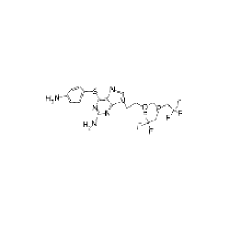 Nc1ccc(Sc2nc(N)nc3c2ncn3CCOCP(CC(F)(F)F)CC(F)(F)F)cc1